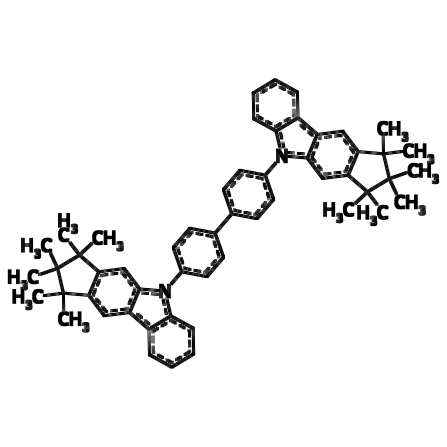 CC1(C)c2cc3c4ccccc4n(-c4ccc(-c5ccc(-n6c7ccccc7c7cc8c(cc76)C(C)(C)C(C)(C)C8(C)C)cc5)cc4)c3cc2C(C)(C)C1(C)C